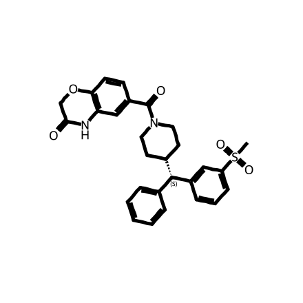 CS(=O)(=O)c1cccc([C@H](c2ccccc2)C2CCN(C(=O)c3ccc4c(c3)NC(=O)CO4)CC2)c1